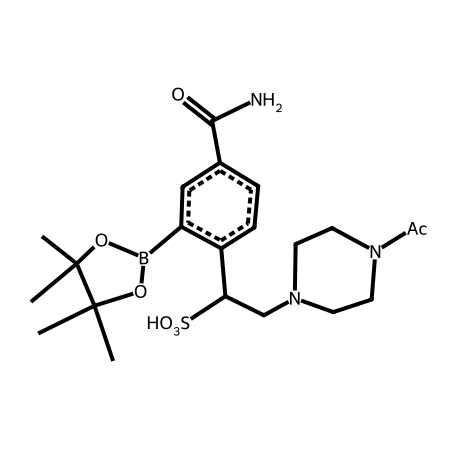 CC(=O)N1CCN(CC(c2ccc(C(N)=O)cc2B2OC(C)(C)C(C)(C)O2)S(=O)(=O)O)CC1